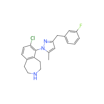 Cc1cc(Cc2cccc(F)c2)nn1-c1c(Cl)ccc2c1CCNCC2